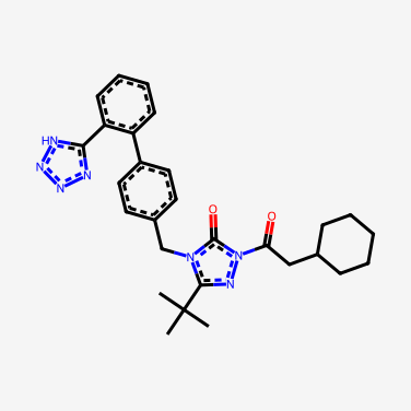 CC(C)(C)c1nn(C(=O)CC2CCCCC2)c(=O)n1Cc1ccc(-c2ccccc2-c2nnn[nH]2)cc1